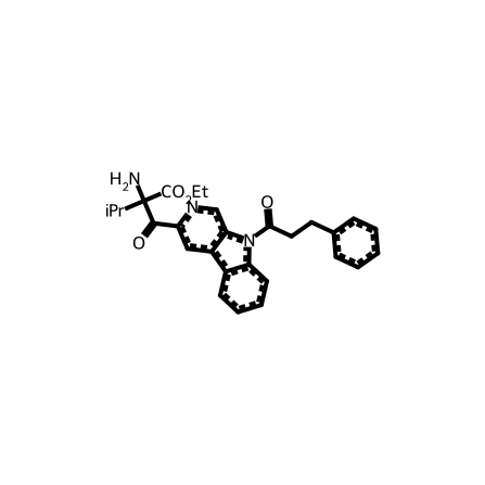 CCOC(=O)C(N)(C(=O)c1cc2c3ccccc3n(C(=O)CCc3ccccc3)c2cn1)C(C)C